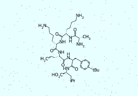 C=CC[C@H](NC(=O)[C@H](CCCCN)NC(=O)[C@H](CCCCN)NC(=O)[C@H](C)N)C(=O)N[C@@H](Cc1ccc(C(C)(C)C)cc1)C(=O)N[C@@H](CC(C)C)C(=O)O